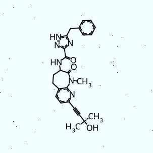 CN1C(=O)C(NC(=O)c2n[nH]c(Cc3ccccc3)n2)CCc2ccc(C#CC(C)(C)O)nc21